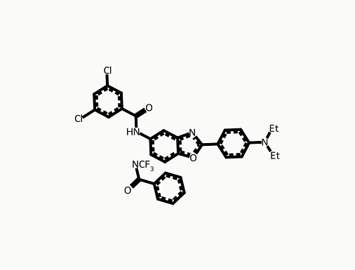 CCN(CC)c1ccc(-c2nc3cc(NC(=O)c4cc(Cl)cc(Cl)c4)ccc3o2)cc1.O=C(NC(F)(F)F)c1ccccc1